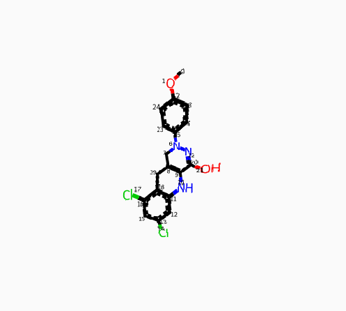 COc1ccc(N2CC3=C(Nc4cc(Cl)cc(Cl)c4C3)C(O)=N2)cc1